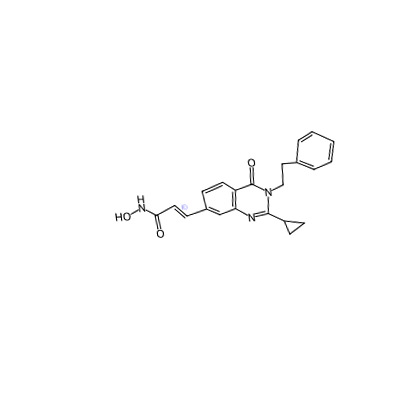 O=C(/C=C/c1ccc2c(=O)n(CCc3ccccc3)c(C3CC3)nc2c1)NO